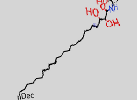 CCCCCCCCCCCCCCCCCCCCCCCCCCCCCC/C=C/C(O)C(O)C(=O)N[C@@H](CO)[C@H](O)CC